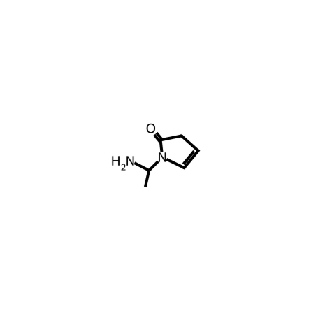 CC(N)N1C=CCC1=O